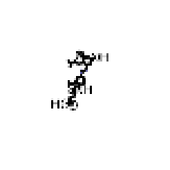 COc1cc(/C=C/c2cc(O)cc(OC)c2CC=C(C)C)ccc1NC(=O)CCC(=O)O